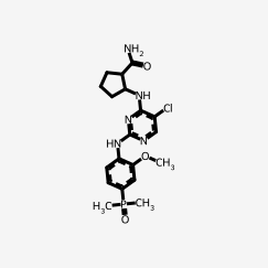 COc1cc(P(C)(C)=O)ccc1Nc1ncc(Cl)c(NC2CCCC2C(N)=O)n1